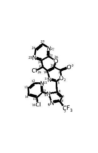 O=c1oc(-c2cc(C(F)(F)F)nn2-c2ncccc2Cl)nc2c1Oc1nccnc1C2Cl